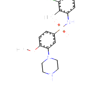 COc1ccc(S(=O)(=O)Nc2cccc(Cl)c2C)cc1N1CCNCC1